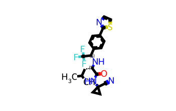 CC(C)C[C@H](N[C@@H](c1ccc(-c2nccs2)cc1)C(F)(F)F)C(=O)NC1(C#N)CC1